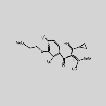 CN/C(O)=C(\C(=N)C1CC1)C(=O)c1ccc(C(F)(F)F)c(SCCOC)c1C